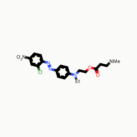 CCN(CCOC(=O)CCNC)c1ccc(/N=N/c2ccc([N+](=O)[O-])cc2Cl)cc1